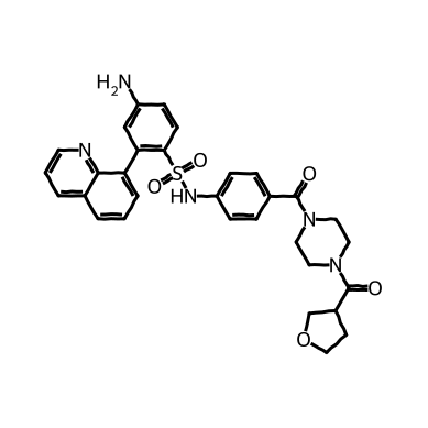 Nc1ccc(S(=O)(=O)Nc2ccc(C(=O)N3CCN(C(=O)C4CCOC4)CC3)cc2)c(-c2cccc3cccnc23)c1